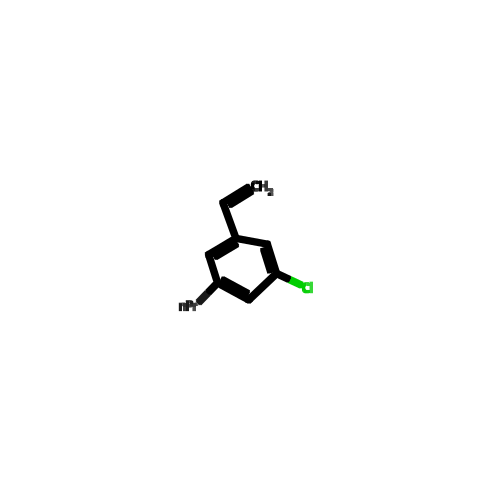 C=Cc1cc(Cl)cc(CCC)c1